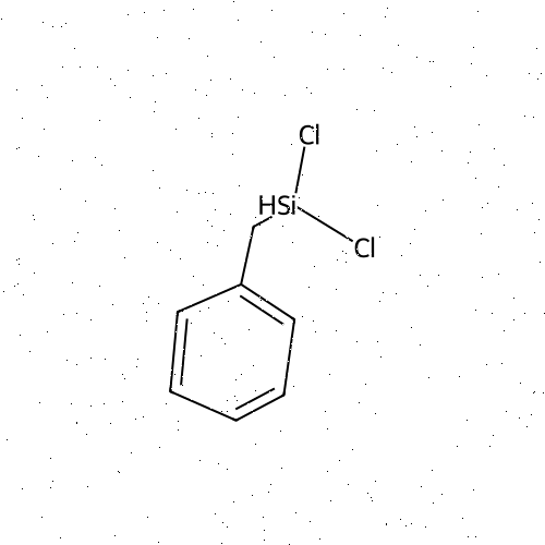 Cl[SiH](Cl)Cc1ccccc1